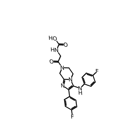 O=C(O)NCC(=O)N1CCn2c(nc(-c3ccc(F)cc3)c2Nc2ccc(F)cc2)C1